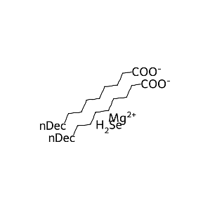 CCCCCCCCCCCCCCCCCC(=O)[O-].CCCCCCCCCCCCCCCCCC(=O)[O-].[Mg+2].[SeH2]